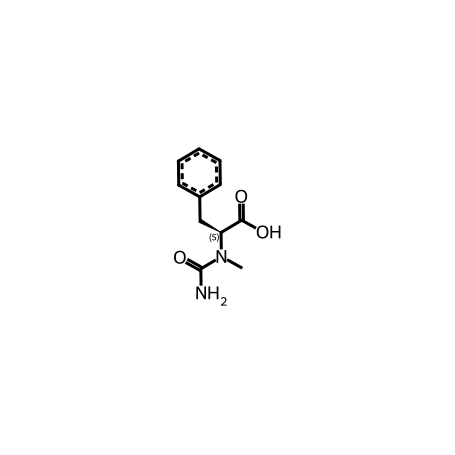 CN(C(N)=O)[C@@H](Cc1ccccc1)C(=O)O